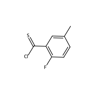 Cc1ccc(F)c(C(=S)Cl)c1